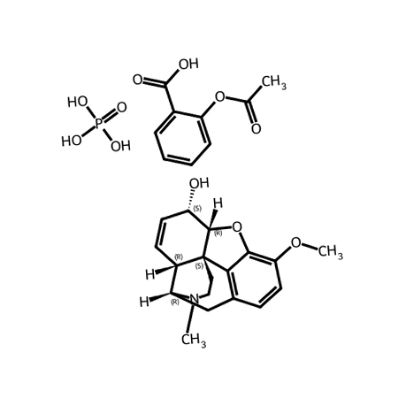 CC(=O)Oc1ccccc1C(=O)O.COc1ccc2c3c1O[C@H]1[C@@H](O)C=C[C@H]4[C@@H](C2)N(C)CC[C@@]341.O=P(O)(O)O